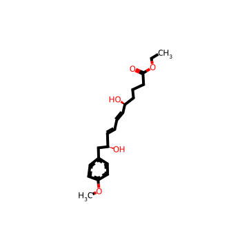 CCOC(=O)CCC[C@H](O)/C=C/C=C/[C@H](O)Cc1ccc(OC)cc1